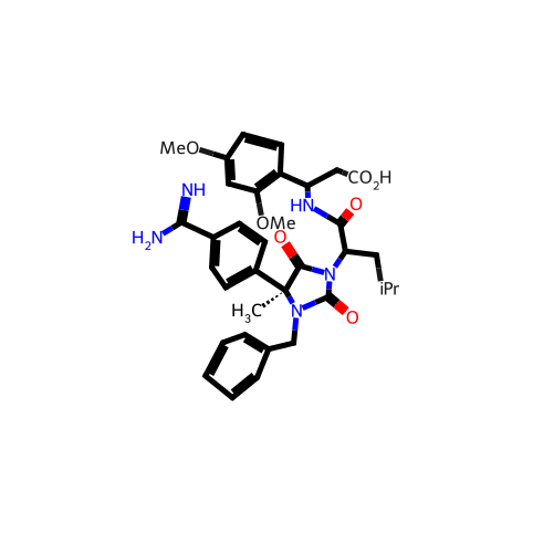 COc1ccc(C(CC(=O)O)NC(=O)C(CC(C)C)N2C(=O)N(Cc3ccccc3)[C@@](C)(c3ccc(C(=N)N)cc3)C2=O)c(OC)c1